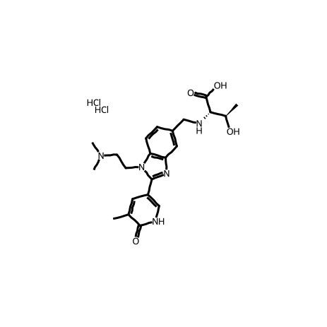 Cc1cc(-c2nc3cc(CN[C@H](C(=O)O)[C@@H](C)O)ccc3n2CCN(C)C)c[nH]c1=O.Cl.Cl